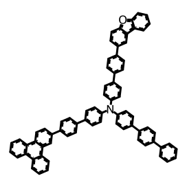 c1ccc(-c2ccc(-c3ccc(N(c4ccc(-c5ccc(-c6ccc7oc8ccccc8c7c6)cc5)cc4)c4ccc(-c5ccc(-c6ccc7c8ccccc8c8ccccc8c7c6)cc5)cc4)cc3)cc2)cc1